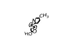 Cc1ccc(S(=O)(=O)CC(=O)O)nc1